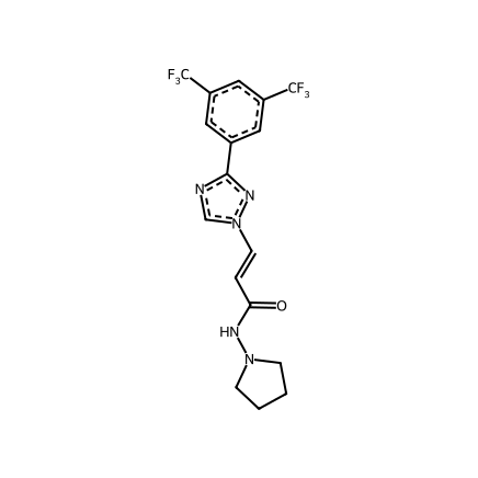 O=C(C=Cn1cnc(-c2cc(C(F)(F)F)cc(C(F)(F)F)c2)n1)NN1CCCC1